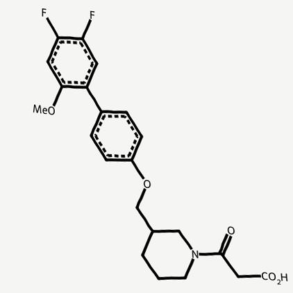 COc1cc(F)c(F)cc1-c1ccc(OCC2CCCN(C(=O)CC(=O)O)C2)cc1